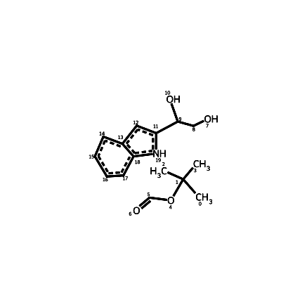 CC(C)(C)OC=O.OCC(O)c1cc2ccccc2[nH]1